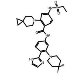 CCS(=O)(=O)Nc1ccc(C(=O)Nc2ccc(-c3ncc[nH]3)c(N3CCC(F)(F)CC3)c2)c(N2CCC3(CC2)CC3)c1